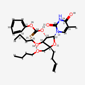 C=CCC[C@]1(COCCCC)O[C@@H](n2cc(C)c(=O)[nH]c2=O)[C@@H](OC(=S)Oc2ccccc2)C1OCCCC